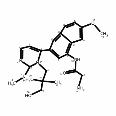 CNC1N=CC=C(c2cc(NC(=O)CN)c3cc(OC)ccc3c2)N1CC(C)(C)CO